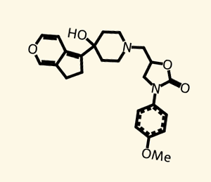 COc1ccc(N2CC(CN3CCC(O)(C4=C5C=COC=C5CC4)CC3)OC2=O)cc1